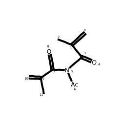 C=C(C)C(=O)N(C(C)=O)C(=O)C(=C)C